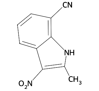 Cc1[nH]c2c(C#N)cccc2c1[N+](=O)[O-]